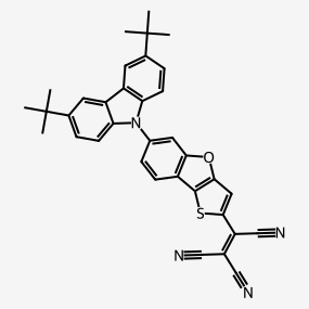 CC(C)(C)c1ccc2c(c1)c1cc(C(C)(C)C)ccc1n2-c1ccc2c(c1)oc1cc(C(C#N)=C(C#N)C#N)sc12